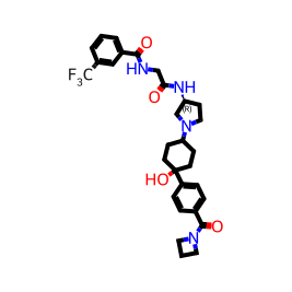 O=C(CNC(=O)c1cccc(C(F)(F)F)c1)N[C@@H]1CCN(C2CCC(O)(c3ccc(C(=O)N4CCC4)cc3)CC2)C1